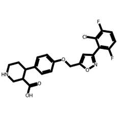 O=C(O)C1CNCCC1c1ccc(OCc2cc(-c3c(F)ccc(F)c3Cl)no2)cc1